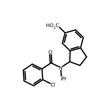 CC(C)N(C(=O)c1ccccc1Cl)C1CCc2ccc(C(=O)O)cc21